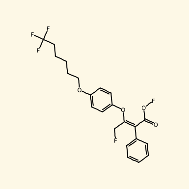 O=C(OF)C(=C(CF)Oc1ccc(OCCCCCC(F)(F)F)cc1)c1ccccc1